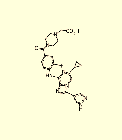 O=C(O)CN1CCN(C(=O)c2ccc(Nc3nc(C4CC4)cn4c(-c5cn[nH]c5)cnc34)c(F)c2)CC1